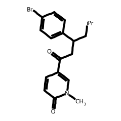 CC(C)CC(CC(=O)c1ccc(=O)n(C)c1)c1ccc(Br)cc1